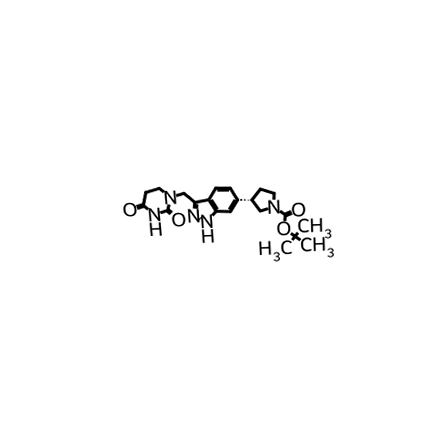 CC(C)(C)OC(=O)N1CC[C@@H](c2ccc3c(CN4CCC(=O)NC4=O)n[nH]c3c2)C1